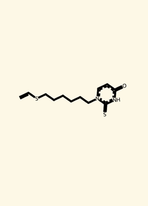 C=CSCCCCCCn1ccc(=O)[nH]c1=S